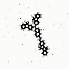 CC1(C)C2=C(c3ccccc31)C(C)(C)c1cc(/C=C/c3ccc4cc(N(c5ccc6c(c5)C(C)(C)c5ccccc5-6)c5ccc6c(c5)C(C)(C)c5ccccc5-6)ccc4c3)ccc12